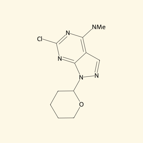 CNc1nc(Cl)nc2c1cnn2C1CCCCO1